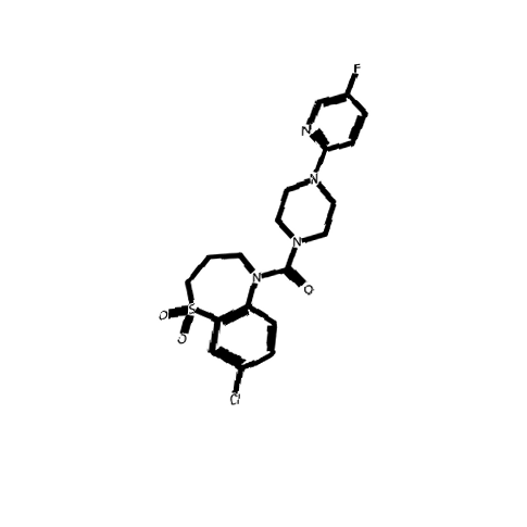 O=C(N1CCN(c2ccc(F)cn2)CC1)N1CCCS(=O)(=O)c2cc(Cl)ccc21